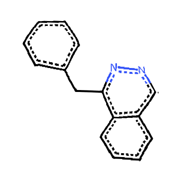 [c]1nnc(Cc2ccccc2)c2ccccc12